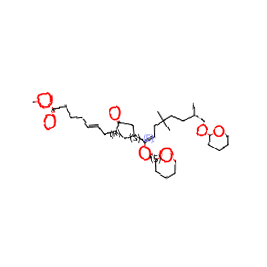 COC(=O)CCCC=CC[C@@H]1C[C@H](/C(=C\CC(C)(C)CCC(C)COC2CCCCO2)O[C@H]2CCCCO2)CC1=O